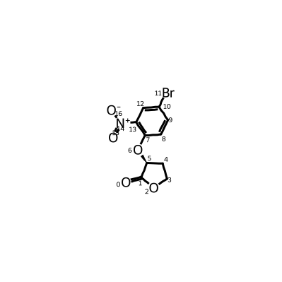 O=C1OCC[C@@H]1Oc1ccc(Br)cc1[N+](=O)[O-]